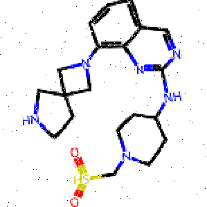 O=[SH](=O)CN1CCC(Nc2ncc3cccc(N4CC5(CCNC5)C4)c3n2)CC1